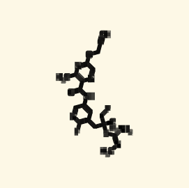 C#CCOc1cnc(C(=O)Nc2cnc(F)c(C[C@](C)(CF)S/C(N)=N\C)c2)c(C)n1